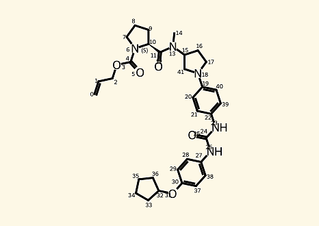 C=CCOC(=O)N1CCC[C@H]1C(=O)N(C)C1CCN(c2ccc(NC(=O)Nc3ccc(OC4CCCC4)cc3)cc2)C1